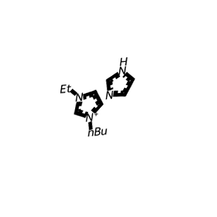 CCCC[n+]1ccn(CC)c1.c1c[nH]cn1